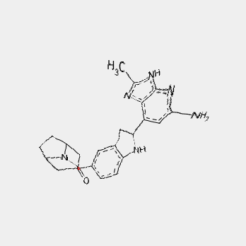 Cc1nc2c(C3Cc4cc(CN5C6CCC5CC(=O)C6)ccc4N3)cc(N)nc2[nH]1